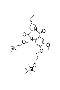 CC=C1CC2C(=O)N(COCC[Si](C)(C)C)c3cc(OCCCO[Si](C)(C)C(C)(C)C)c(OC)cc3C(=O)N2C1